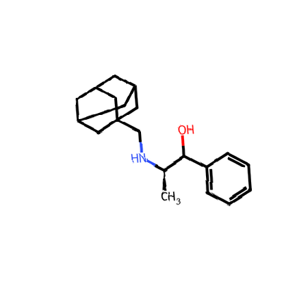 C[C@@H](NCC12CC3CC(CC(C3)C1)C2)C(O)c1ccccc1